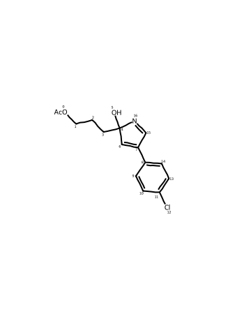 CC(=O)OCCCC1(O)C=C(c2ccc(Cl)cc2)C=N1